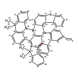 Cc1ccc(N2c3cc4c(c5c3B(c3ccc6sc7ccccc7c6c32)N2c3ccccc3C(C)(C)c3cccc-5c32)C(C)(C)c2ccccc2-4)c(-c2ccccc2)c1